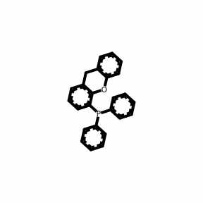 c1ccc(P(c2ccccc2)c2cccc3c2Oc2ccccc2C3)cc1